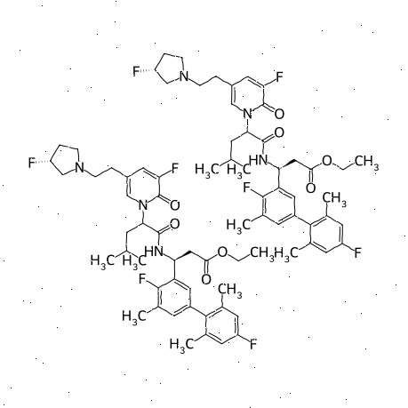 CCOC(=O)C[C@H](NC(=O)C(CC(C)C)n1cc(CCN2CC[C@@H](F)C2)cc(F)c1=O)c1cc(-c2c(C)cc(F)cc2C)cc(C)c1F.CCOC(=O)C[C@H](NC(=O)C(CC(C)C)n1cc(CCN2CC[C@@H](F)C2)cc(F)c1=O)c1cc(-c2c(C)cc(F)cc2C)cc(C)c1F